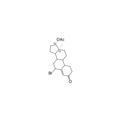 CC(=O)O[C@H]1CCC2C3CC(Br)C4=CC(=O)CCC4C3CC[C@@]21C